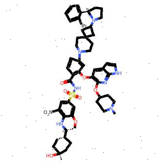 CC(C)c1ccccc1[C@H]1CCCN1C1CC2(CCN(c3ccc(C(=O)NS(=O)(=O)c4cc5c(c([N+](=O)[O-])c4)N[C@@H]([C@H]4CC[C@](C)(O)CC4)CO5)c(Oc4cc5cc[nH]c5nc4OC4CCN(C)CC4)c3)CC2)C1